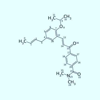 CC=CCc1ccc(OC(C)C)c(C=CC(=O)c2ccc(C(=O)N(C)C)cc2)c1